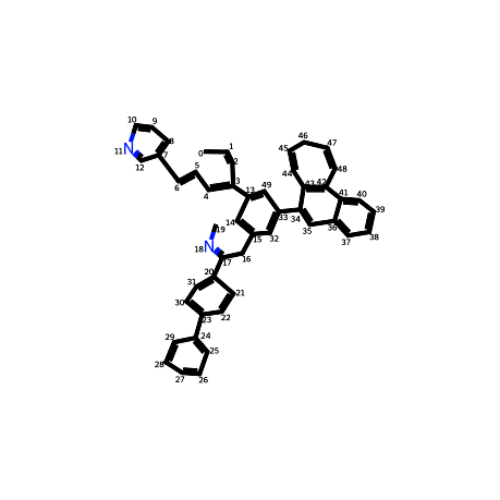 C\C=C/C(=C\C=C\c1cccnc1)c1cc(C/C(=N\C)c2ccc(-c3ccccc3)cc2)cc(-c2cc3ccccc3c3c2C=CCC=C3)c1